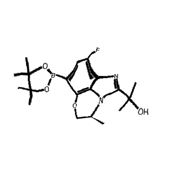 C[C@H]1COc2c(B3OC(C)(C)C(C)(C)O3)cc(F)c3nc(C(C)(C)O)n1c23